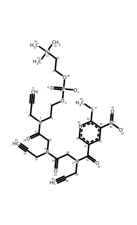 C#CCN(CCOP(=O)([O-])OCC[N+](C)(C)C)C(=O)CN(CC#C)C(=O)CN(CC#C)C(=O)c1cnc(SC)c([N+](=O)[O-])c1